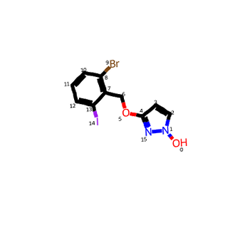 On1ccc(OCc2c(Br)cccc2I)n1